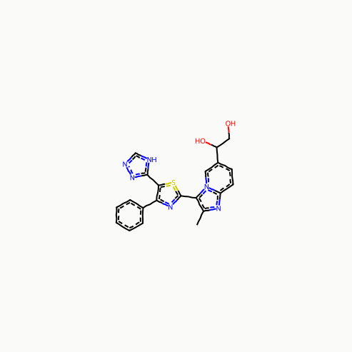 Cc1nc2ccc(C(O)CO)cn2c1-c1nc(-c2ccccc2)c(-c2nnc[nH]2)s1